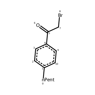 CCCCCc1ccc(C(=O)CBr)cc1